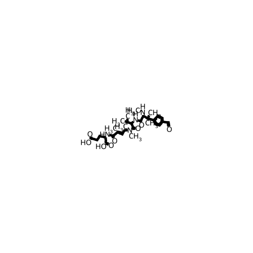 CNC(C(=O)NC(C(=O)N(C)C/C=C(\C)C(=O)NC(CCC(=O)O)C(=O)O)C(C)(C)C)C(C)(C)c1ccc(C=O)cc1